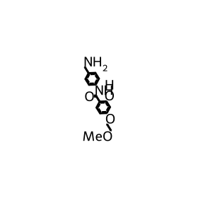 COCCOc1ccc(C(=O)Nc2ccc(CN)cc2)c(O)c1